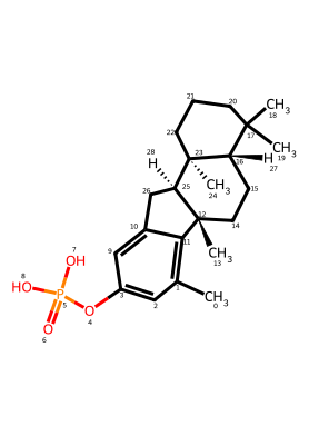 Cc1cc(OP(=O)(O)O)cc2c1[C@@]1(C)CC[C@H]3C(C)(C)CCC[C@]3(C)[C@@H]1C2